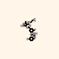 Cc1n[nH]c2nc(-c3ccc(NS(=O)(=O)c4cc(F)ccc4F)c(F)c3)nc(NCCN(C)C)c12